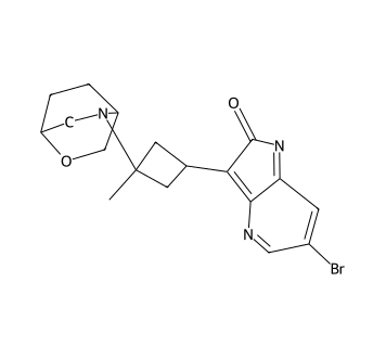 CC1(N2CC3CCC2CO3)CC(C2=c3ncc(Br)cc3=NC2=O)C1